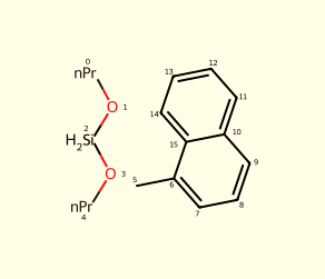 CCCO[SiH2]OCCC.Cc1cccc2ccccc12